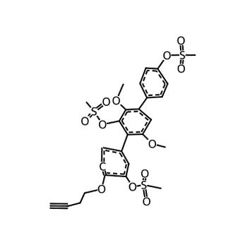 C#CCCOc1ccc(-c2c(OC)cc(-c3ccc(OS(C)(=O)=O)cc3)c(OC)c2OS(C)(=O)=O)cc1OS(C)(=O)=O